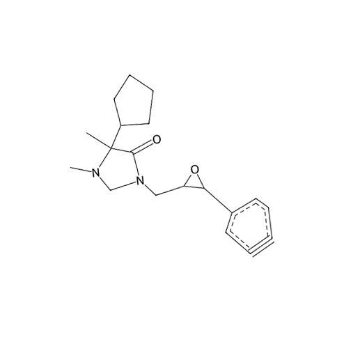 CN1CN(CC2OC2c2cc#ccc2)C(=O)C1(C)C1CCCC1